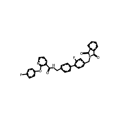 O=C(NCc1ccc(-c2ccc(CN3C(=O)c4ccccc4C3=O)cc2F)cc1)c1cccnc1Oc1ccc(F)cc1